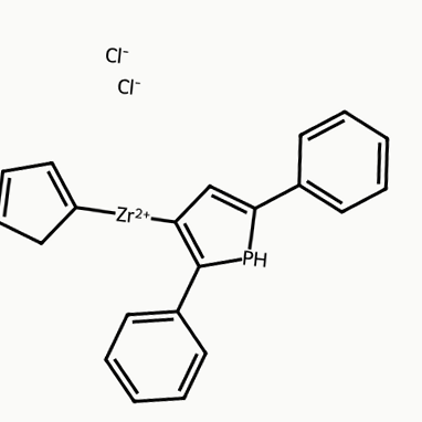 C1=CC[C]([Zr+2][c]2cc(-c3ccccc3)[pH]c2-c2ccccc2)=C1.[Cl-].[Cl-]